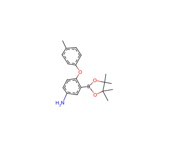 Cc1ccc(Oc2ccc(N)cc2B2OC(C)(C)C(C)(C)O2)cc1